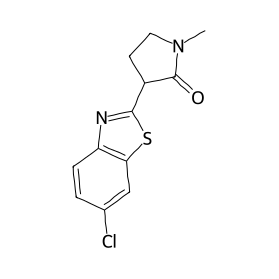 CN1CCC(c2nc3ccc(Cl)cc3s2)C1=O